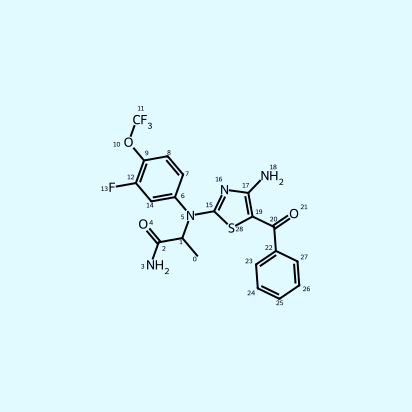 CC(C(N)=O)N(c1ccc(OC(F)(F)F)c(F)c1)c1nc(N)c(C(=O)c2ccccc2)s1